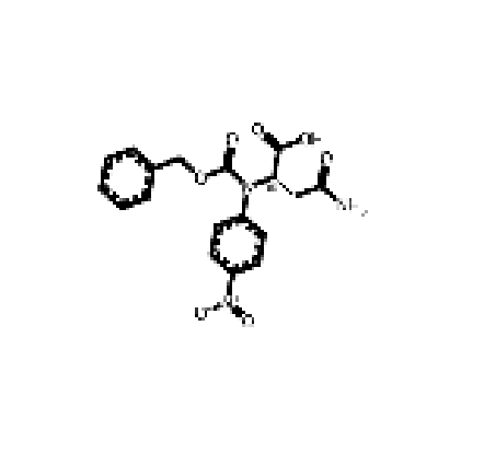 NC(=O)C[C@@H](C(=O)O)N(C(=O)OCc1ccccc1)c1ccc([N+](=O)[O-])cc1